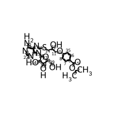 CC(C)OC(=O)c1ccc(OCC(O)CSc2nc3c(N)ncnc3n2[C@@H]2O[C@H](CO)[C@@H](O)[C@H]2O)cc1